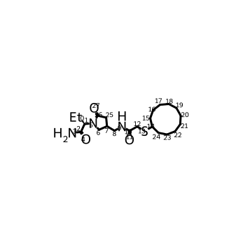 CC[C@H](C(N)=O)N1CC(CNC(=O)CSC2CCCCCCCCCC2)CC1=O